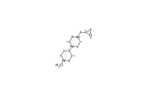 CN1CCC(N2CCN(CC3CO3)CC2)CC1